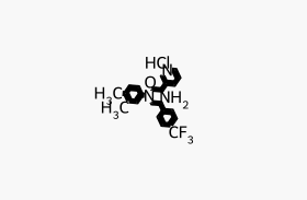 Cc1ccc(N(CCc2ccc(C(F)(F)F)cc2)C(=O)[C@@H](N)c2cccnc2)cc1C.Cl